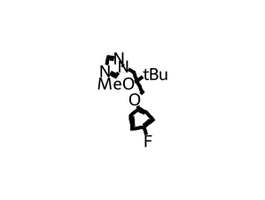 COC(COc1ccc(F)cc1)(Cn1cncn1)C(C)(C)C